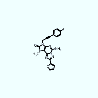 Cn1c(=O)n(CC#Cc2ccc(F)cc2)c2nc(N)n3nc(-c4ccco4)nc3c21